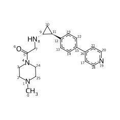 CN1CCN(C(=O)CN[C@@H]2C[C@H]2c2ccc(-c3ccncc3)cc2)CC1